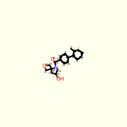 Cc1ccccc1-c1ccc(C(=O)N2CC(O)CC23COC3)cc1